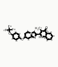 Cc1c(-c2cn3ccc(Oc4ccc(OC(F)(F)F)cc4)cc3n2)[nH]c2ccccc2c1=O